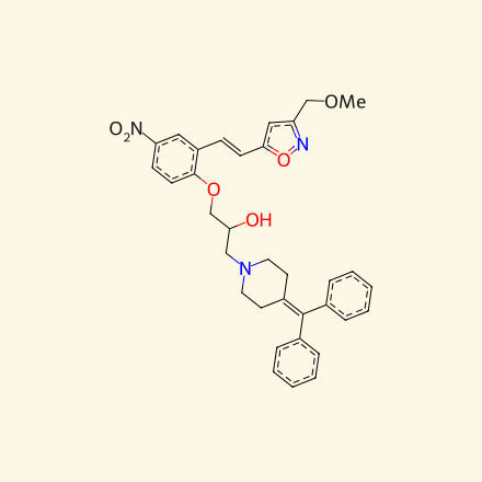 COCc1cc(/C=C/c2cc([N+](=O)[O-])ccc2OCC(O)CN2CCC(=C(c3ccccc3)c3ccccc3)CC2)on1